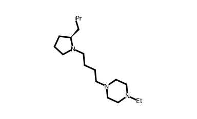 CCN1CCN(CCCCN2CCC[C@H]2CC(C)C)CC1